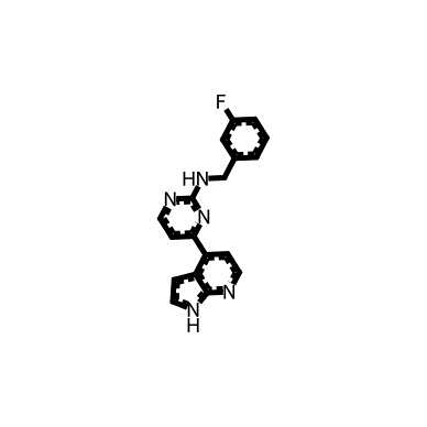 Fc1cccc(CNc2nccc(-c3ccnc4[nH]ccc34)n2)c1